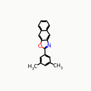 Cc1cc(C)cc(-c2nc3cc4ccccc4cc3o2)c1